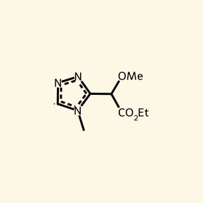 CCOC(=O)C(OC)c1nn[c]n1C